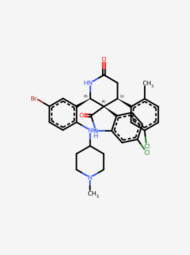 Cc1ccc(Cl)cc1[C@@H]1CC(=O)N[C@H](c2cc(Br)ccc2NC2CCN(C)CC2)[C@@]12C(=O)Nc1cc(Cl)ccc12